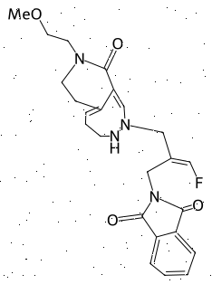 COCCN1CCC2=C\CCNN(C/C(=C/F)CN3C(=O)c4ccccc4C3=O)/C=C\2C1=O